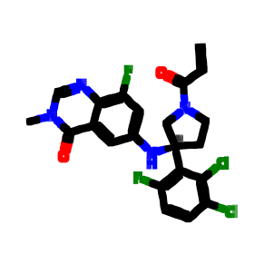 C=CC(=O)N1CC[C@](Nc2cc(F)c3ncn(C)c(=O)c3c2)(c2c(F)ccc(Cl)c2Cl)C1